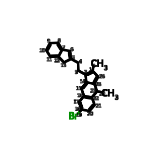 CC1=C(CCC2=Cc3ccccc3C2)C2=Cc3cc(Br)ccc3C(C)C2=C1